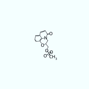 CS(=O)(=O)OCC1Cn2c(=O)ccc3cccc(c32)O1